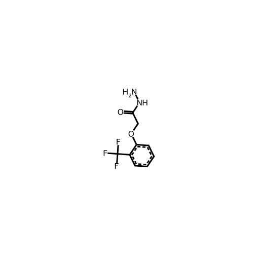 NNC(=O)COc1ccccc1C(F)(F)F